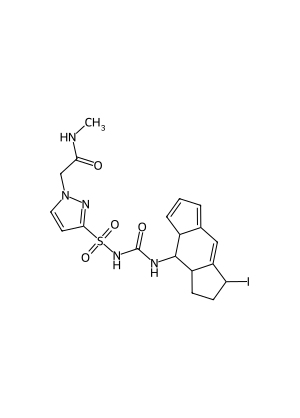 CNC(=O)Cn1ccc(S(=O)(=O)NC(=O)NC2C3C=CC=C3C=C3C(I)CCC32)n1